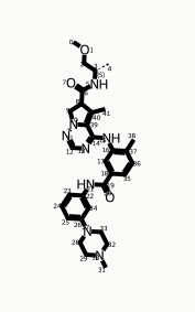 COC[C@H](C)NC(=O)C1CN2N=CN=C(Nc3cc(C(=O)Nc4cccc(N5CCN(C)CC5)c4)ccc3C)C2=C1C